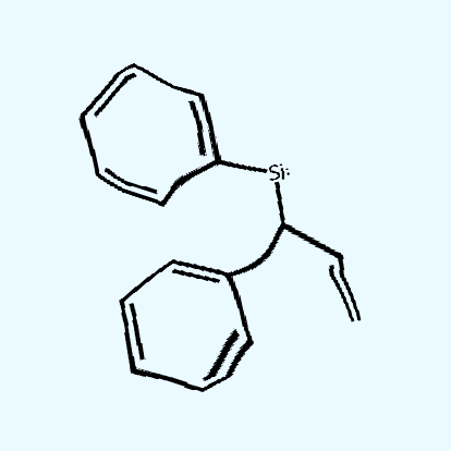 C=CC([Si]c1ccccc1)c1ccccc1